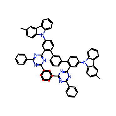 Cc1ccc2c(c1)c1ccccc1n2-c1ccc(-c2cccc(-c3ccc(-n4c5ccccc5c5cc(C)ccc54)cc3-c3nc(-c4ccccc4)nc(-c4ccccc4)n3)c2)c(-c2nc(-c3ccccc3)nc(-c3ccccc3)n2)c1